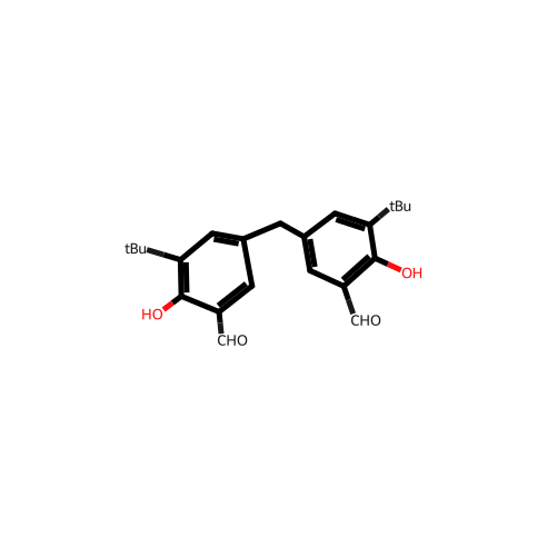 CC(C)(C)c1cc(Cc2cc(C=O)c(O)c(C(C)(C)C)c2)cc(C=O)c1O